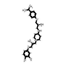 CC(C)c1ccc(OC[C@@H](O)CNC2CCN(C[C@H](O)COc3ccc(Cl)c(Cl)c3)CC2)cc1